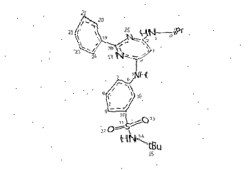 CC(C)Nc1cc(Nc2cccc(S(=O)(=O)NC(C)(C)C)c2)nc(-c2ccccc2)n1